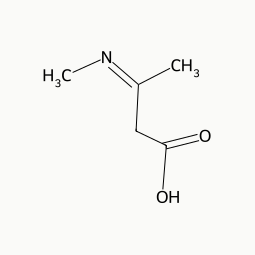 CN=C(C)CC(=O)O